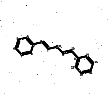 [B](C=Cc1ccccc1)C=Cc1ccccc1